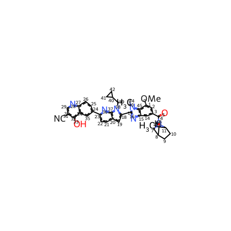 COc1cc(C(=O)N2CC3CCC2[C@@H]3C)cc2nc(-c3cc4ccc(-c5ccc6ncc(C#N)c(O)c6c5)nc4n3CC3CC3)n(C)c12